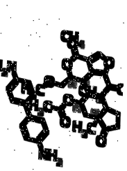 C.COC[C@H]1OC(=O)c2coc3c2[C@@]1(C)C1=C(C3=O)C2CCC(=O)[C@@]2(C)C[C@H]1OC(C)=O.Nc1ccc(-c2ccc(N)cc2)cc1